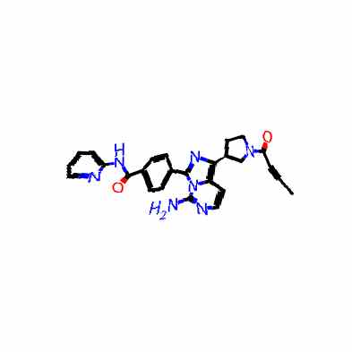 CC#CC(=O)N1CC[C@H](c2nc(-c3ccc(C(=O)Nc4ccccn4)cc3)n3c(N)nccc23)C1